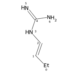 CCC=CNC(=N)N